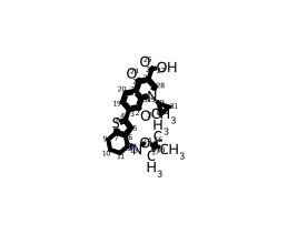 COc1c(-c2cc3c(s2)CCC/C3=N/OC(C)(C)C)ccc2c(=O)c(C(=O)O)cn(C3CC3)c12